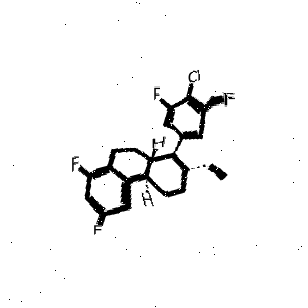 C=C[C@@H]1CC[C@H]2c3cc(F)cc(F)c3CC[C@@H]2[C@H]1c1cc(F)c(Cl)c(F)c1